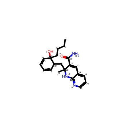 CCCCC1(O)C=CC=CC1CC1(C)Nc2ncccc2C=C1C(N)=O